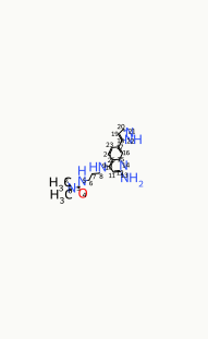 CN(C)C(=O)NCCCNc1cc(N)nc2cc(-c3ccn[nH]3)ccc12